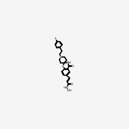 O=C(C=Cc1ccc2c(c1)C(=O)NC1(CCN(CCc3ccc(F)cc3)CC1)O2)NO